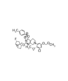 COCOc1cc(Cl)c([C@@H]2C[C@@H]2C)c(N2CCc3c(nc(OC[C@@]45CCCN4C[C@H](F)C5)nc3OS(=O)(=O)c3ccc(C)cc3)C2)c1